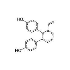 C=Cc1cccc(-c2ccc(O)cc2)c1-c1ccc(O)cc1